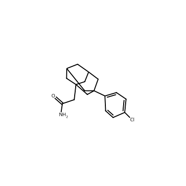 NC(=O)CC12CC3CC(C1)CC(c1ccc(Cl)cc1)(C3)C2